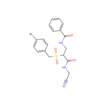 N#CCNC(=O)C(CNC(=O)c1ccccc1)S(=O)(=O)Cc1ccc(Br)cc1